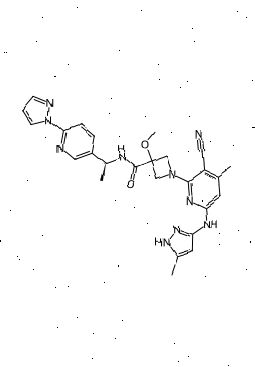 COC1(C(=O)N[C@@H](C)c2ccc(-n3cccn3)nc2)CN(c2nc(Nc3cc(C)[nH]n3)cc(C)c2C#N)C1